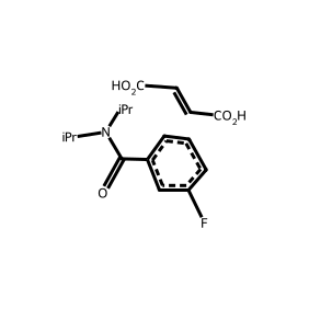 CC(C)N(C(=O)c1cccc(F)c1)C(C)C.O=C(O)/C=C/C(=O)O